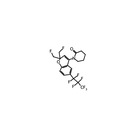 O=C1CCCCN1C1=CC(CF)(CF)Oc2ccc(C(F)(F)C(F)(F)C(F)(F)F)cc21